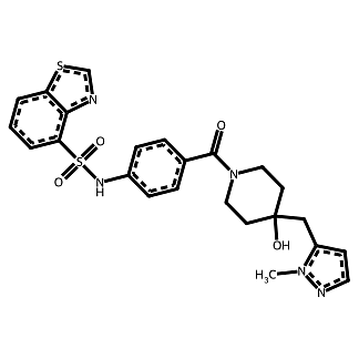 Cn1nccc1CC1(O)CCN(C(=O)c2ccc(NS(=O)(=O)c3cccc4scnc34)cc2)CC1